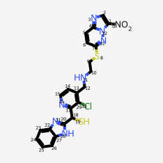 O=[N+]([O-])c1cnc2ccc(SCCNCc3ccnc(C(S)c4nc5ccccc5[nH]4)c3Cl)nn12